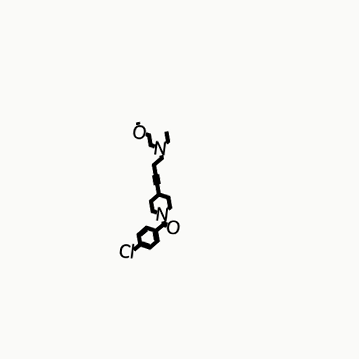 CCN(CCC#CC1CCN(C(=O)c2ccc(Cl)cc2)CC1)CCOC